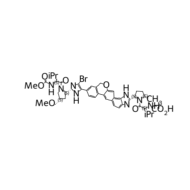 COC[C@H]1C[C@@H](c2nc(Br)c(-c3ccc4c(c3)COc3cc5c(ccc6nc([C@@H]7CC[C@H](C)N7C(=O)[C@@H](NC(=O)O)C(C)C)[nH]c65)cc3-4)[nH]2)N(C(=O)[C@@H](NC(=O)OC)C(C)C)C1